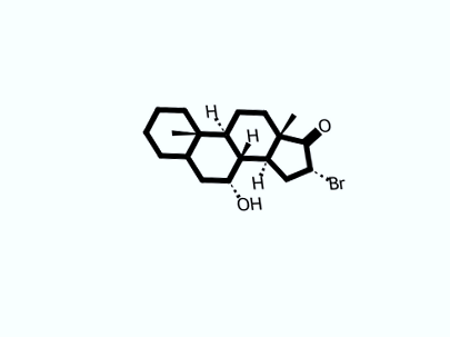 C[C@]12CCCCC1C[C@@H](O)[C@@H]1[C@@H]2CC[C@]2(C)C(=O)[C@H](Br)C[C@@H]12